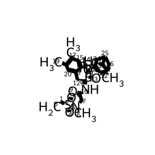 C=CS(=O)(=O)N(C)CC(=O)N[C@@H](Cc1ccc(C)c(C)c1)B1O[C@@H]2CC3CC(C3(C)C)[C@]2(C)O1